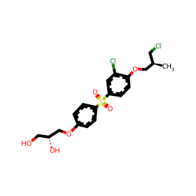 C[C@H](CCl)COc1ccc(S(=O)(=O)c2ccc(OC[C@H](O)CO)cc2)cc1Cl